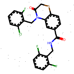 O=C(NCc1c(F)cccc1F)c1ccc2c(c1)N(Cc1c(F)cccc1Cl)C(=O)CS2